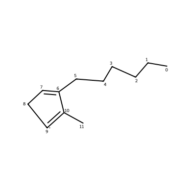 CCCCCCC1=CC[C]=C1C